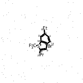 CCc1ccc2cc(C(C)C)[s+](C(F)(F)F)c2c1.[Br-]